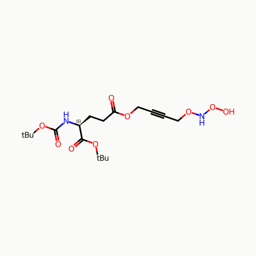 CC(C)(C)OC(=O)N[C@@H](CCC(=O)OCC#CCONOO)C(=O)OC(C)(C)C